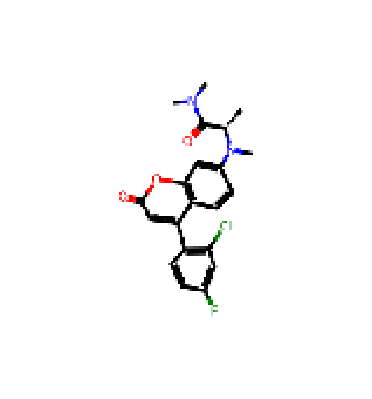 C[C@H](C(=O)N(C)C)N(C)c1ccc2c(-c3ccc(F)cc3Cl)cc(=O)oc2c1